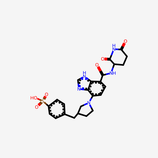 O=C1CCC(NC(=O)c2ccc(N3CCC(Cc4ccc(S(=O)(=O)O)cc4)C3)c3nc[nH]c23)C(=O)N1